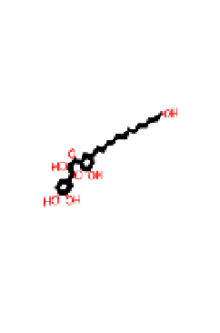 O=c1c(O)c(-c2ccc(O)c(O)c2)oc2c(O)cc(CCCCCCCCCCCCCO)cc12